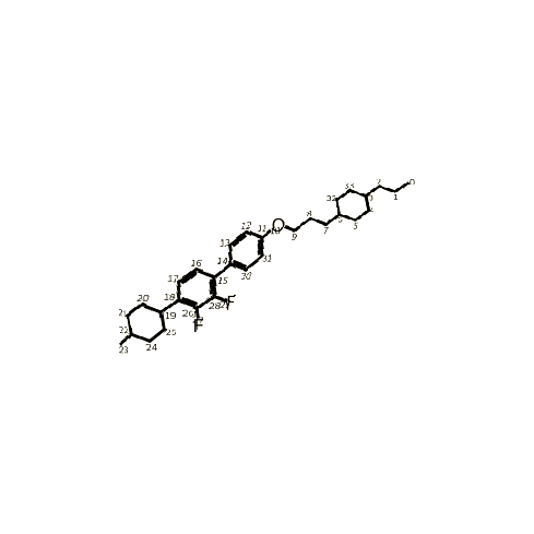 CCCC1CCC(CCCOc2ccc(-c3ccc(C4CCC(C)CC4)c(F)c3F)cc2)CC1